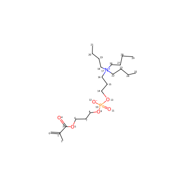 C=C(C)C(=O)OCCCOP(=O)([O-])OCCC[N+](CCCC)(CCCC)CCCC